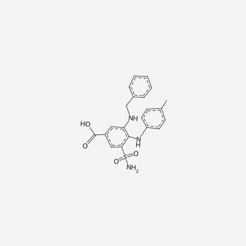 Cc1ccc(Nc2c(NCc3ccccc3)cc(C(=O)O)cc2S(N)(=O)=O)cc1